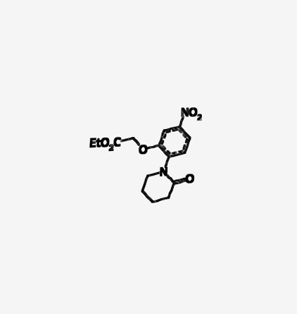 CCOC(=O)COc1cc([N+](=O)[O-])ccc1N1CCCCC1=O